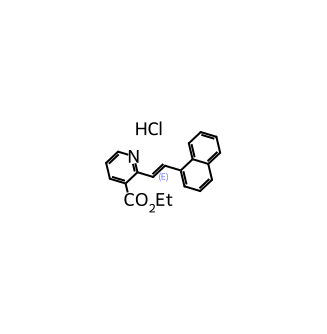 CCOC(=O)c1cccnc1/C=C/c1cccc2ccccc12.Cl